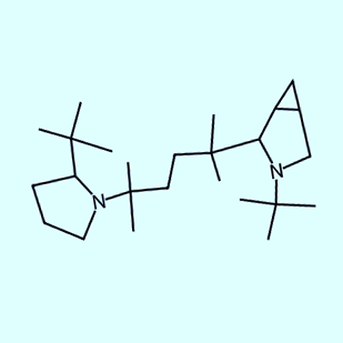 CC(C)(C)C1CCCN1C(C)(C)CCC(C)(C)C1C2CC2CN1C(C)(C)C